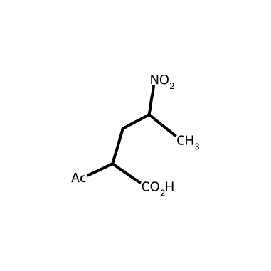 CC(=O)C(CC(C)[N+](=O)[O-])C(=O)O